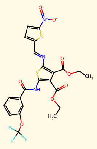 CCOC(=O)c1c(N=Cc2ccc([N+](=O)[O-])s2)sc(NC(=O)c2cccc(OC(F)(F)F)c2)c1C(=O)OCC